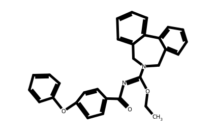 CCOC(=NC(=O)c1ccc(Oc2ccccc2)cc1)N1Cc2ccccc2-c2ccccc2C1